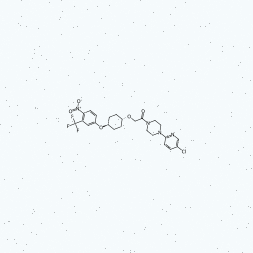 O=C(CO[C@H]1CC[C@H](Oc2ccc([N+](=O)[O-])c(C(F)(F)F)c2)CC1)N1CCN(c2ccc(Cl)cn2)CC1